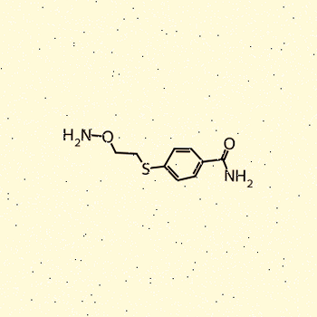 NOCCSc1ccc(C(N)=O)cc1